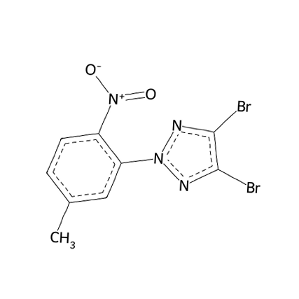 Cc1ccc([N+](=O)[O-])c(-n2nc(Br)c(Br)n2)c1